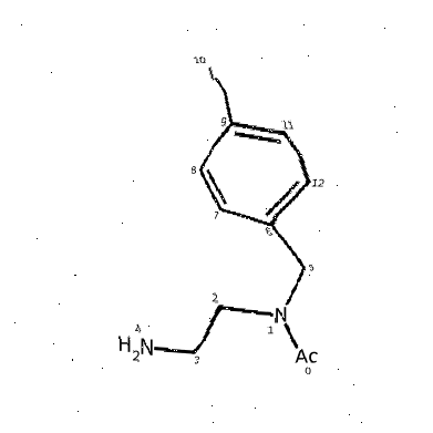 CC(=O)N(CCN)Cc1ccc(I)cc1